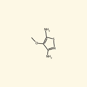 COc1c(N)nsc1N